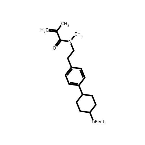 C=C(C)C(=O)N(C)CCc1ccc(C2CCC(CCCCC)CC2)cc1